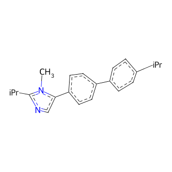 CC(C)c1ccc(-c2ccc(-c3cnc(C(C)C)n3C)cc2)cc1